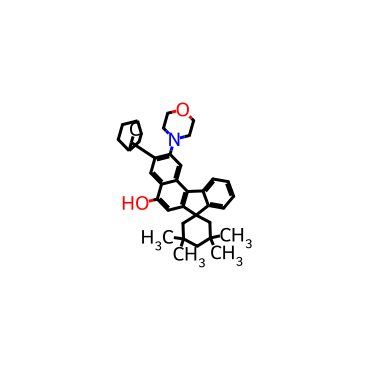 CC1(C)CC(C)(C)CC2(C1)c1ccccc1-c1c2cc(O)c2cc(C3CC4CCC3CC4)c(N3CCOCC3)cc12